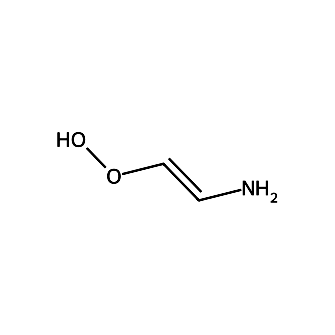 N/C=C/OO